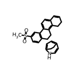 C1=CC2=CC=C(CC2)N1.CS(=O)(=O)c1ccc2c(c1)-c1ccc3c(c1CC2)CCC=C3